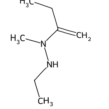 C=C(CC)N(C)NCC